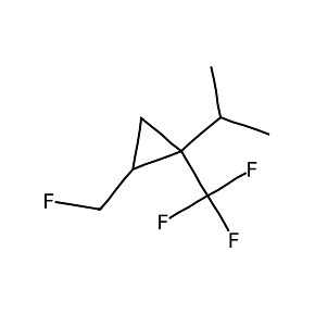 CC(C)C1(C(F)(F)F)CC1CF